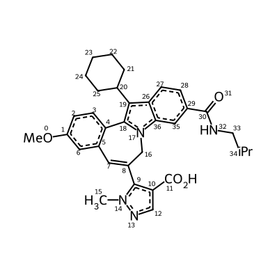 COc1ccc2c(c1)C=C(c1c(C(=O)O)cnn1C)Cn1c-2c(C2CCCCC2)c2ccc(C(=O)NCC(C)C)cc21